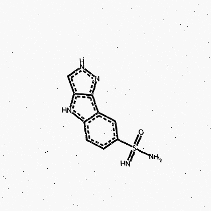 N=S(N)(=O)c1ccc2[nH]c3c[nH]nc3c2c1